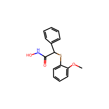 COc1ccccc1SC(C(=O)NO)c1ccccc1